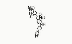 CCn1c(=O)c(-c2ccc(C3NN=CO3)cc2Cl)cc2cnc(Nc3ccc(N4CCN(C)CC4)cc3)nc21